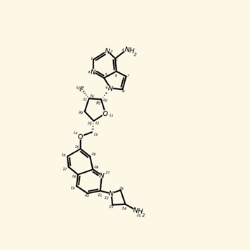 Nc1ncnc2c1ccn2[C@@H]1O[C@H](COc2ccc3ccc(N4CC(N)C4)nc3c2)C[C@@H]1F